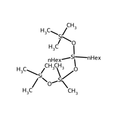 CCCCCC[Si](CCCCCC)(O[Si](C)(C)C)O[Si](C)(C)O[Si](C)(C)C